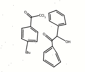 CC(C)(C)c1ccc(C(=O)C(Cl)(Cl)Cl)cc1.O=C(c1ccccc1)C(O)c1ccccc1